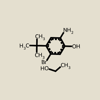 CC(C)(C)c1cc(N)c(O)cc1Br.CCO